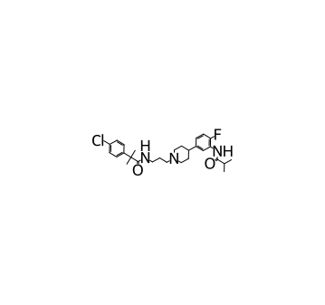 CC(C)C(=O)Nc1cc(C2CCN(CCCNC(=O)C(C)(C)c3ccc(Cl)cc3)CC2)ccc1F